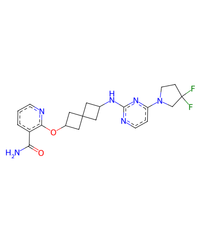 NC(=O)c1cccnc1OC1CC2(CC(Nc3nccc(N4CCC(F)(F)C4)n3)C2)C1